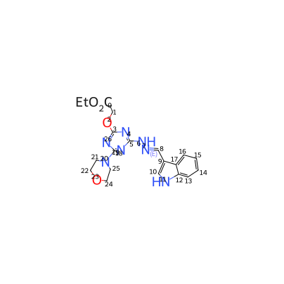 CCOC(=O)COc1nc(N/N=C/c2c[nH]c3ccccc23)nc(N2CCOCC2)n1